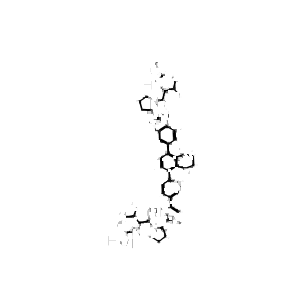 COC(=O)N[C@H](C(=O)N1CCC[C@H]1c1nc2ccc(-c3ccc(-c4ccc(-c5cnc([C@@H]6CCCN6C(=O)[C@@H](NC(=O)O)C(C)C)[nH]5)cn4)c4c3C3CCC4O3)cc2[nH]1)C(C)C